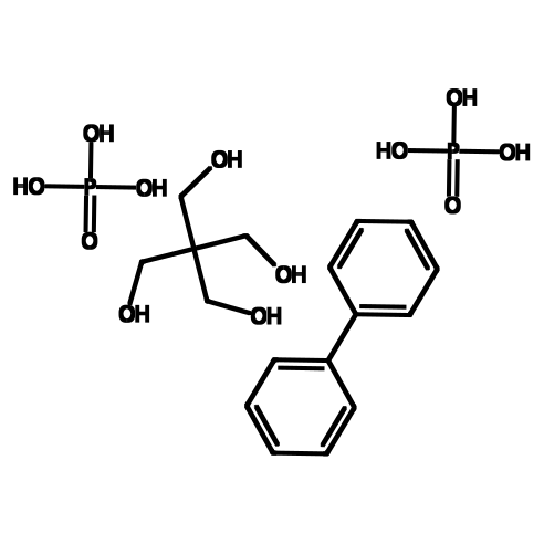 O=P(O)(O)O.O=P(O)(O)O.OCC(CO)(CO)CO.c1ccc(-c2ccccc2)cc1